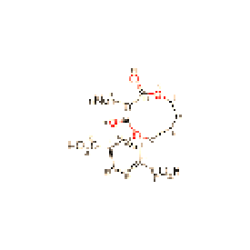 CCCCCCCCCC1C(=O)OCCCCOC1=O.O=C(O)c1ccc(C(=O)O)cc1